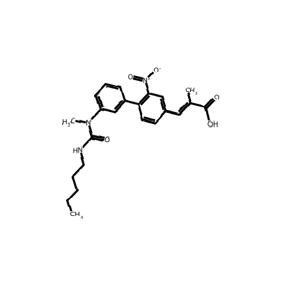 CCCCCNC(=O)N(C)c1cccc(-c2ccc(/C=C(\C)C(=O)O)cc2[N+](=O)[O-])c1